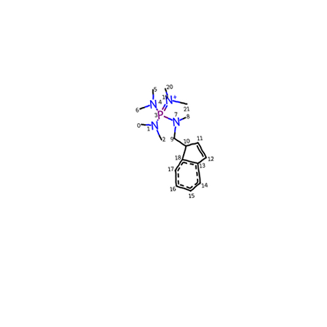 CN(C)P(N(C)C)(N(C)CC1C=Cc2ccccc21)=[N+](C)C